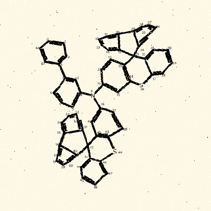 c1ccc(-c2cccc(N(c3ccc4c(c3)Sc3ccccc3C43c4ccccc4-c4ccccc43)c3ccc4c(c3)C3(c5ccccc5S4)c4ccccc4-c4ccccc43)c2)cc1